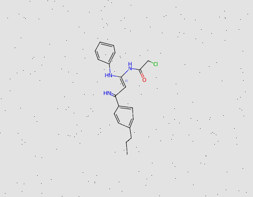 CCCc1ccc(C(=N)/C=C(/NC(=O)CCl)Nc2ccccc2)cc1